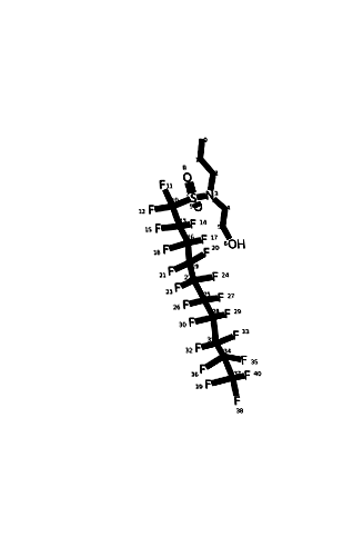 CCCN(CCO)S(=O)(=O)C(F)(F)C(F)(F)C(F)(F)C(F)(F)C(F)(F)C(F)(F)C(F)(F)C(F)(F)C(F)(F)C(F)(F)F